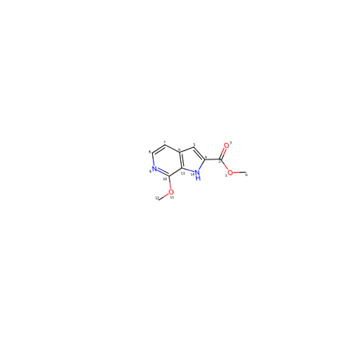 COC(=O)c1cc2ccnc(OC)c2[nH]1